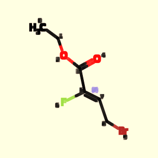 CCOC(=O)/C(F)=C/CBr